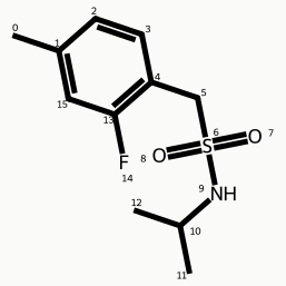 Cc1ccc(CS(=O)(=O)NC(C)C)c(F)c1